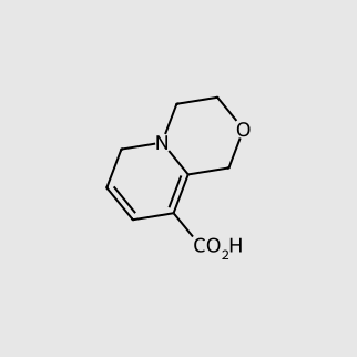 O=C(O)C1=C2COCCN2CC=C1